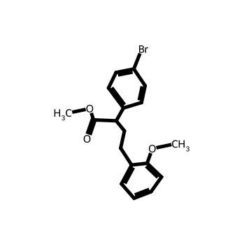 COC(=O)C(CCc1ccccc1OC)c1ccc(Br)cc1